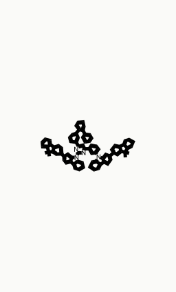 CC1(C)c2ccccc2-c2ccc(-c3ccc4c5ccccc5n(-c5cccc(-c6cc(-c7cccc(-c8ccccc8-c8ccccc8)c7)nc(-n7c8ccccc8c8ccc(-c9ccc%10c(c9)C(C)(C)c9ccccc9-%10)cc87)n6)c5)c4c3)cc21